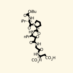 CCCC(NC(=O)[C@@H]1CCCN1C(=O)[C@@H](NC(=O)OCC(C)C)C(C)C)C(=O)C(=O)NCC(=O)N[C@@H](CC(=O)O)C(=O)O